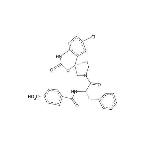 O=C1Nc2ccc(Cl)cc2[C@]2(CCN(C(=O)[C@H](Cc3ccccc3)NC(=O)c3ccc(C(=O)O)cc3)C2)O1